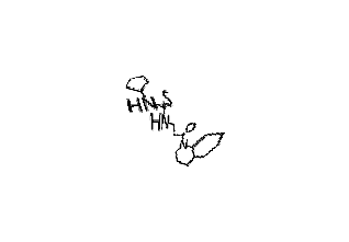 O=C(CCNC(=S)NC1CCCC1)N1CCCC2CCCC=C21